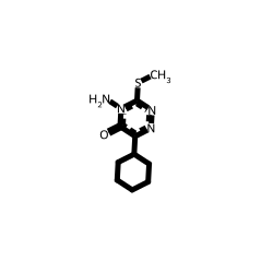 CSc1nnc(C2CCCCC2)c(=O)n1N